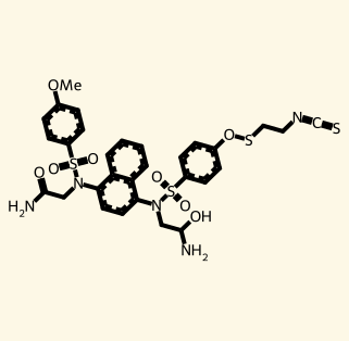 COc1ccc(S(=O)(=O)N(CC(N)=O)c2ccc(N(CC(N)O)S(=O)(=O)c3ccc(OSCCN=C=S)cc3)c3ccccc23)cc1